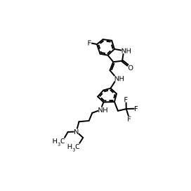 CCN(CC)CCCNc1ccc(NC=C2C(=O)Nc3ccc(F)cc32)cc1CC(F)(F)F